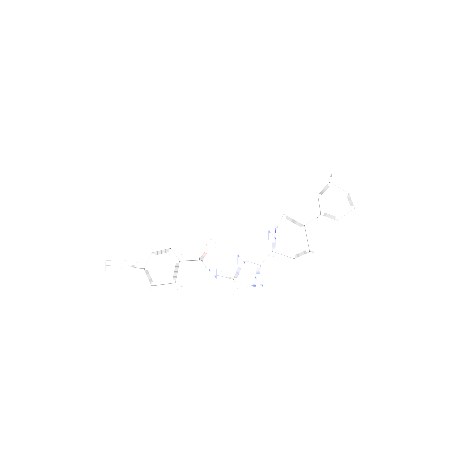 O=C(Nc1nc(-c2ccc(-c3ccccc3)cn2)ns1)c1ccc(C(F)(F)F)cc1